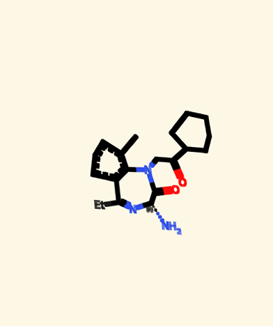 CCC1=N[C@@H](N)C(=O)N(CC(=O)C2CCCCC2)c2c(C)cccc21